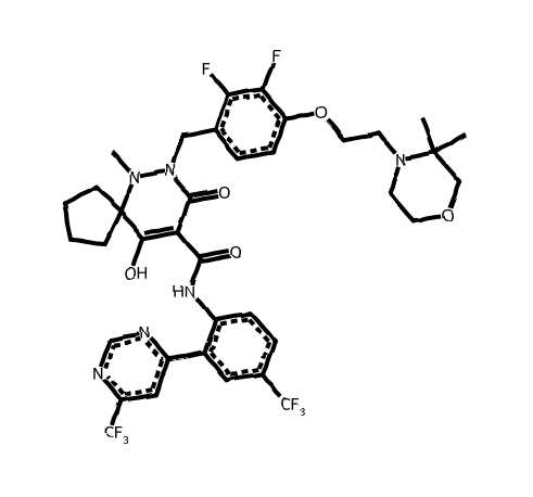 CN1N(Cc2ccc(OCCN3CCOCC3(C)C)c(F)c2F)C(=O)C(C(=O)Nc2ccc(C(F)(F)F)cc2-c2cc(C(F)(F)F)ncn2)=C(O)C12CCCC2